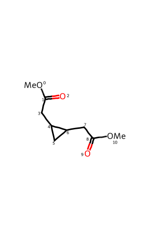 COC(=O)CC1CC1CC(=O)OC